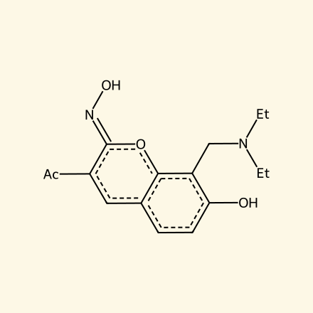 CCN(CC)Cc1c(O)ccc2cc(C(C)=O)c(=NO)oc12